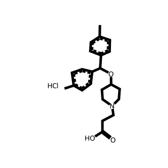 Cc1ccc(C(OC2CCN(CCC(=O)O)CC2)c2ccc(C)cc2)cc1.Cl